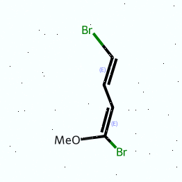 CO/C(Br)=C\C=C\Br